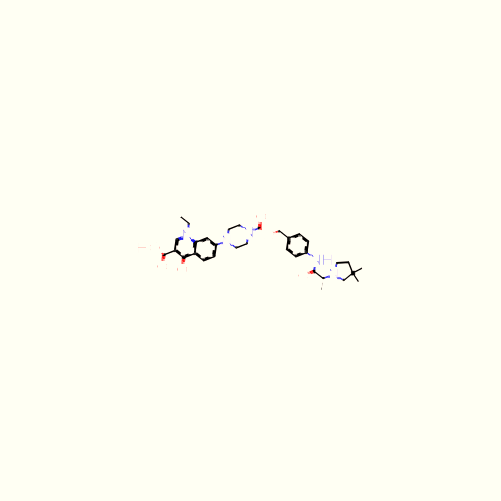 CCn1cc(C(=O)O)c(=O)c2ccc(N3CCN(C(=O)OCc4ccc(NC(=O)[C@H](C)N5CCC(C)(C)C5)cc4)CC3)cc21